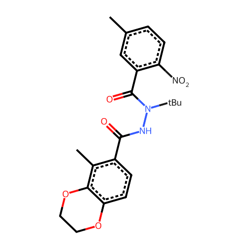 Cc1ccc([N+](=O)[O-])c(C(=O)N(NC(=O)c2ccc3c(c2C)OCCO3)C(C)(C)C)c1